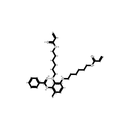 C=CC(=O)OCCCCCCOc1ccc(C)c(OC(=O)c2ccccc2)c1OCCCCCCOC(=O)C=C